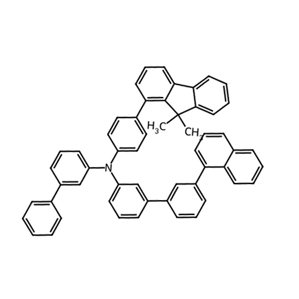 CC1(C)c2ccccc2-c2cccc(-c3ccc(N(c4cccc(-c5ccccc5)c4)c4cccc(-c5cccc(-c6cccc7ccccc67)c5)c4)cc3)c21